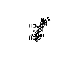 CCc1c(-c2ccc3c(c2)cc(CN2C[C@H]4CC(N(C)C)C[C@H]4C2)n3C)[nH]c(=O)c(C(=O)O)c1O.Cl